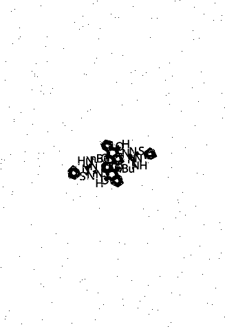 CCCCNc1nc(Nc2ccc(-c3ccc(Nc4nc(NCCCC)nc(Sc5ccccc5)n4)c4c3C(=O)c3ccccc3C4=O)c3c2C(=O)c2ccccc2C3=O)nc(Sc2ccccc2)n1